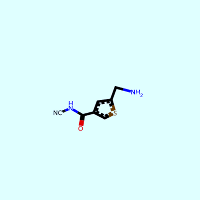 N#CNC(=O)c1csc(CN)c1